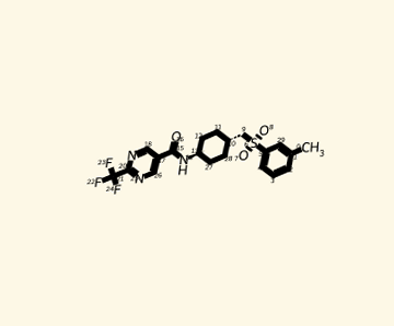 Cc1cccc(S(=O)(=O)C[C@H]2CC[C@H](NC(=O)c3cnc(C(F)(F)F)nc3)CC2)c1